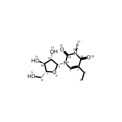 CCc1cn([C@@H]2O[C@H](CO)[C@@H](O)[C@@H]2O)c(=O)n(F)c1=O